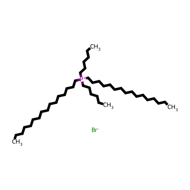 CCCCCCCCCCCCCCCC[P+](CCCCCC)(CCCCCC)CCCCCCCCCCCCCCCC.[Br-]